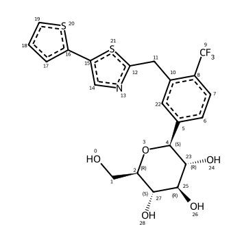 OC[C@H]1O[C@@H](c2ccc(C(F)(F)F)c(Cc3ncc(-c4cccs4)s3)c2)[C@H](O)[C@@H](O)[C@@H]1O